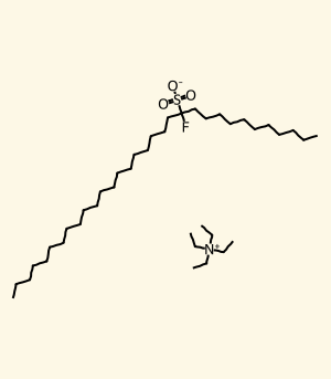 CCCCCCCCCCCCCCCCCCCCC(F)(CCCCCCCCCCC)S(=O)(=O)[O-].CC[N+](CC)(CC)CC